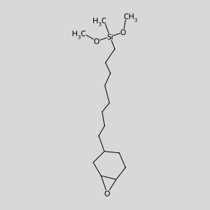 CO[Si](C)(CCCCCCCCC1CCC2OC2C1)OC